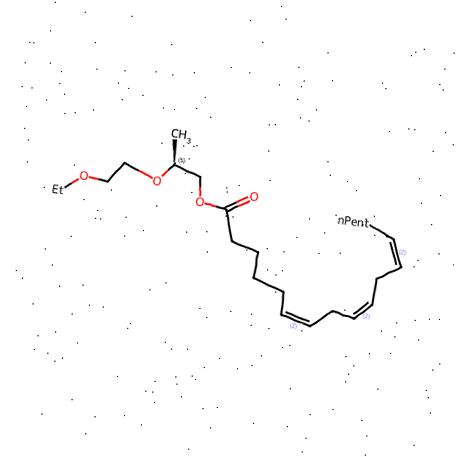 CCCCC/C=C\C/C=C\C/C=C\CCCCC(=O)OC[C@H](C)OCCOCC